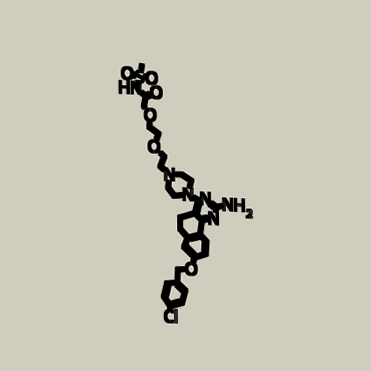 CS(=O)(=O)NC(=O)COCCOCCN1CCN(c2nc(N)nc3c2CCc2cc(OCc4ccc(Cl)cc4)ccc2-3)CC1